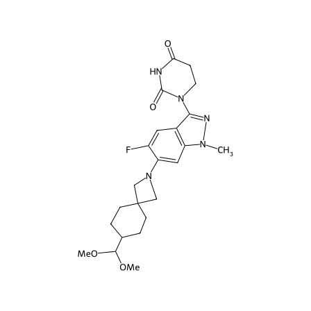 COC(OC)C1CCC2(CC1)CN(c1cc3c(cc1F)c(N1CCC(=O)NC1=O)nn3C)C2